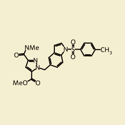 CNC(=O)c1cc(C(=O)OC)n(Cc2ccc3c(ccn3S(=O)(=O)c3ccc(C)cc3)c2)n1